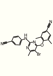 Cc1cc(C#N)cc(C)c1Oc1nc(Nc2ccc(C#N)cc2)nc(C)c1Br